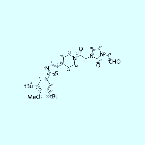 COc1c(C(C)(C)C)cc(-c2ncc(C3CCN(C(=O)Cn4ccn(CC=O)c4=O)CC3)s2)cc1C(C)(C)C